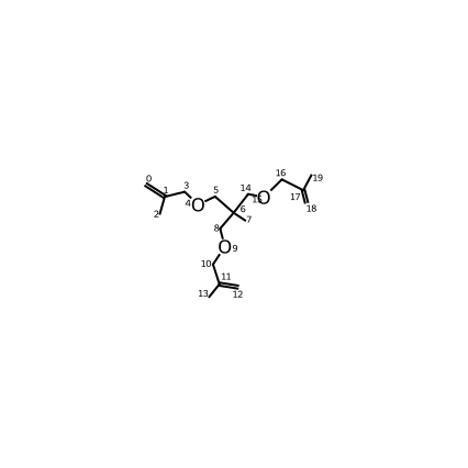 C=C(C)COCC(C)(COCC(=C)C)COCC(=C)C